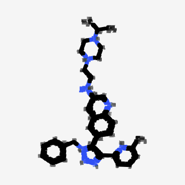 Cc1cccc(-c2nnn(Cc3ccccc3)c2-c2ccc3ncc(NCCN4CCN(C(C)C)CC4)cc3c2)n1